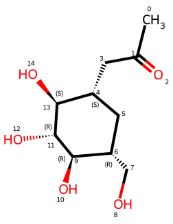 CC(=O)C[C@@H]1C[C@H](CO)[C@@H](O)[C@H](O)[C@H]1O